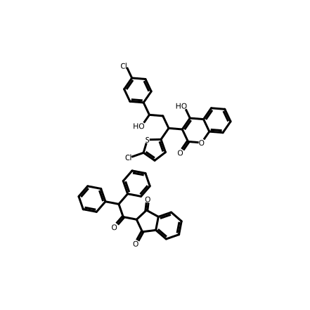 O=C1c2ccccc2C(=O)C1C(=O)C(c1ccccc1)c1ccccc1.O=c1oc2ccccc2c(O)c1C(CC(O)c1ccc(Cl)cc1)c1ccc(Cl)s1